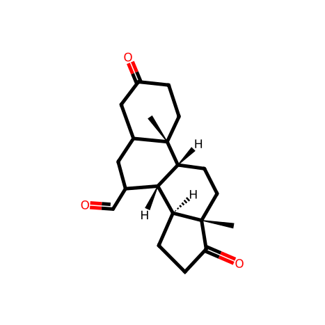 C[C@]12CCC(=O)CC1CC(C=O)[C@@H]1[C@H]2CC[C@]2(C)C(=O)CC[C@@H]12